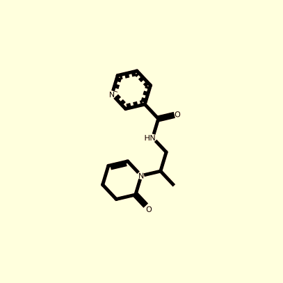 CC(CNC(=O)c1cccnc1)N1C=CCCC1=O